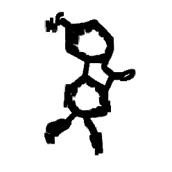 Cc1ccc2c(c1)-c1nc(C#N)c(C#N)nc1C2=O